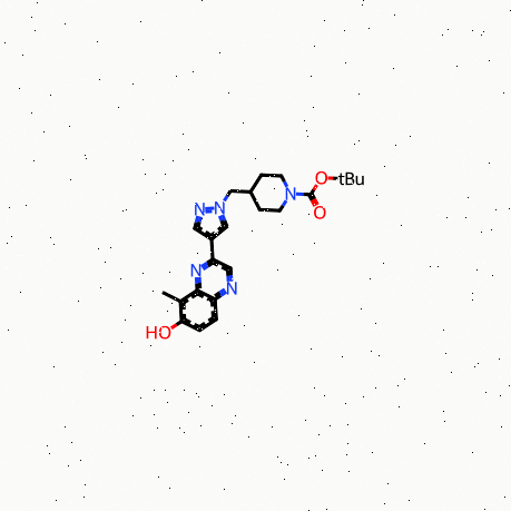 Cc1c(O)ccc2ncc(-c3cnn(CC4CCN(C(=O)OC(C)(C)C)CC4)c3)nc12